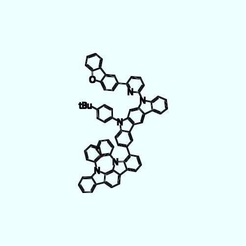 CC(C)(C)c1ccc(-n2c3ccc(-c4cccc5c6ccc7c8ccccc8n(-c8ccccc8)c7c6n(-c6ccccc6)c45)cc3c3cc4c5ccccc5n(-c5cccc(-c6ccc7oc8ccccc8c7c6)n5)c4cc32)cc1